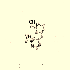 CCc1cccc(Cc2cc(CN)ncn2)c1